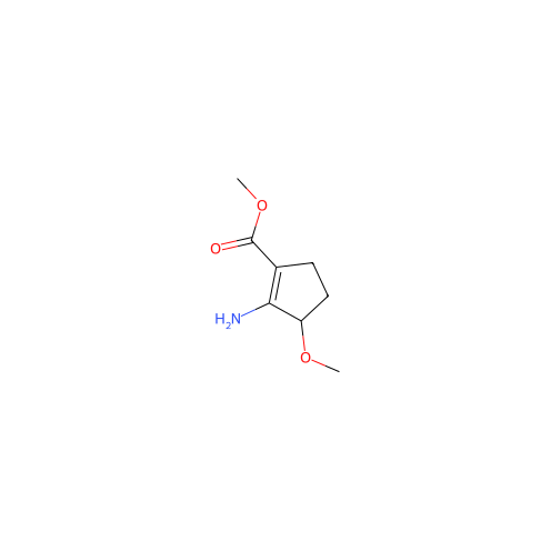 COC(=O)C1=C(N)C(OC)CC1